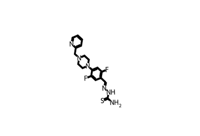 NC(=S)N/N=C/c1cc(F)c(N2CCN(Cc3ccccn3)CC2)cc1F